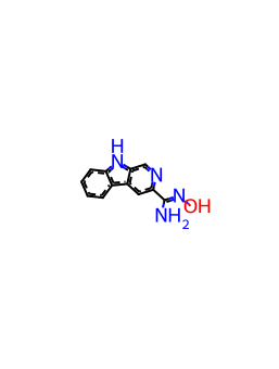 NC(=NO)c1cc2c(cn1)[nH]c1ccccc12